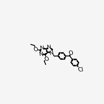 CCOc1nc(OCC)c2c(ncn2Cc2ccc(C(=O)c3ccc(Cl)cc3)cc2)n1